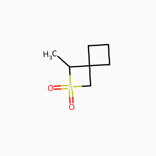 CC1C2(CCC2)CS1(=O)=O